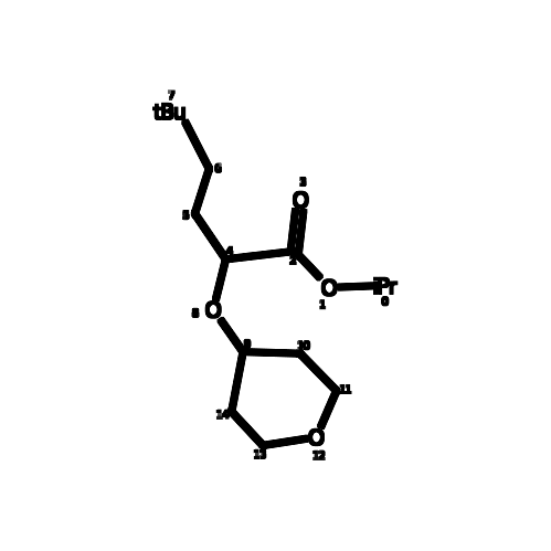 CC(C)OC(=O)C(CCC(C)(C)C)OC1CCOCC1